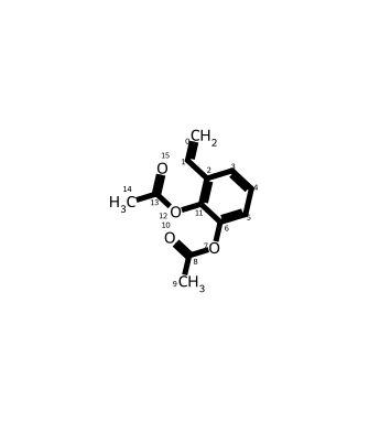 C=Cc1cccc(OC(C)=O)c1OC(C)=O